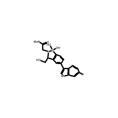 CNC(=O)CN1C(CO)c2cc(-c3c[nH]c4cc(F)ccc34)ccc2S1(O)O